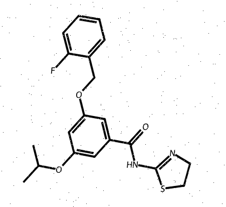 CC(C)Oc1cc(OCc2ccccc2F)cc(C(=O)NC2=NCCS2)c1